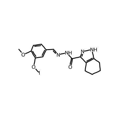 COc1ccc(/C=N/NC(=O)c2n[nH]c3c2CCCC3)cc1OI